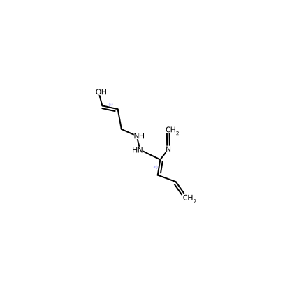 C=C/C=C(\N=C)NNC/C=C/O